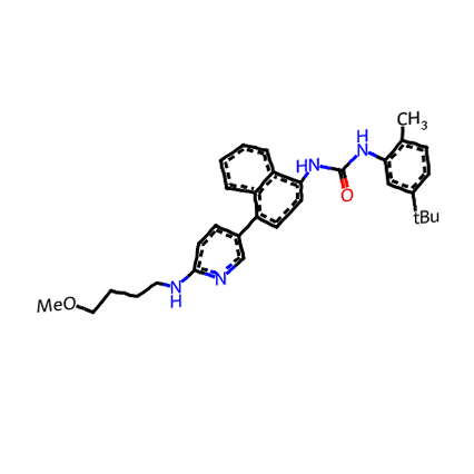 COCCCCNc1ccc(-c2ccc(NC(=O)Nc3cc(C(C)(C)C)ccc3C)c3ccccc23)cn1